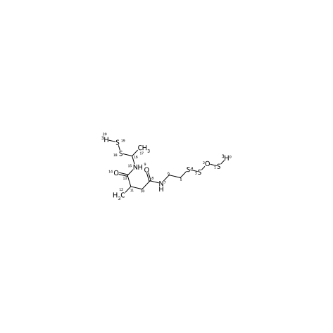 [3H]SOSSCCNC(=O)CC(C)C(=O)NC(C)SS[3H]